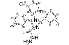 BNC(=C)c1nc(-c2cccc(C)c2)n(-c2cc(Cl)ccc2C)c1-c1cccc(C)c1